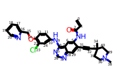 C=CC(=O)Nc1cc2c(Nc3ccc(OCc4ccccn4)c(Cl)c3)ncnc2cc1C#CC1(C)CCN(C)CC1